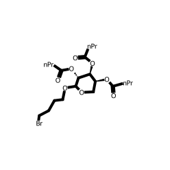 CCCC(=O)O[C@H]1[C@@H](OC(=O)CCC)COC(OCCCCBr)[C@@H]1OC(=O)CCC